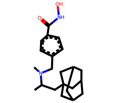 CC(CC12CC3CC(CC(C3)C1)C2)N(C)Cc1ccc(C(=O)NO)cc1